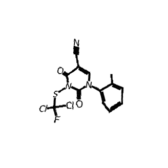 Cc1ccccc1-n1cc(C#N)c(=O)n(SC(F)(Cl)Cl)c1=O